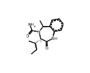 CCC(C)[C@H]1C(=O)Nc2ccccc2C(C)N1C(N)=O